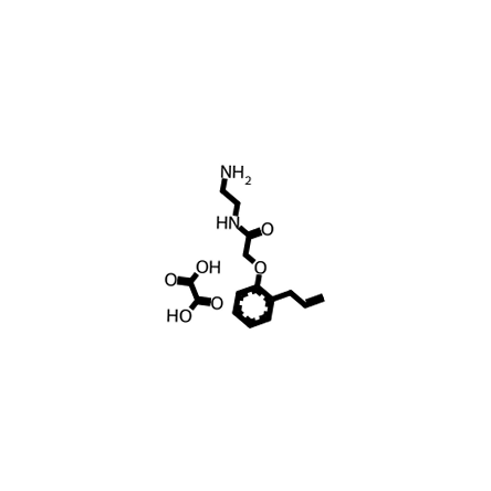 C=CCc1ccccc1OCC(=O)NCCN.O=C(O)C(=O)O